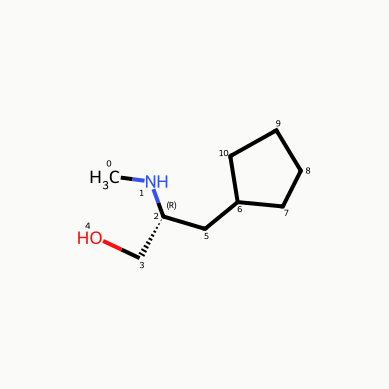 CN[C@@H](CO)CC1CCCC1